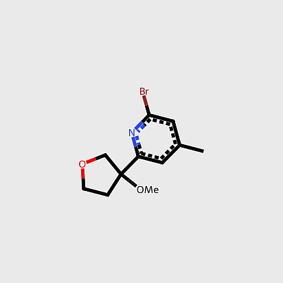 COC1(c2cc(C)cc(Br)n2)CCOC1